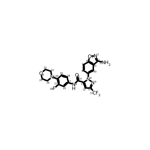 Nc1noc2ccc(-n3nc(C(F)(F)F)cc3C(=O)Nc3ccc(N4CCOCC4)c(F)c3)cc12